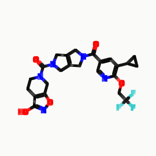 O=C(c1cnc(OCC(F)(F)F)c(C2CC2)c1)N1CC2=C(C1)CN(C(=O)N1CCc3c(O)noc3C1)C2